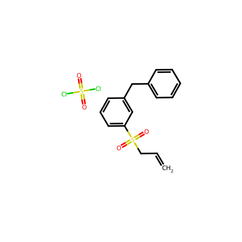 C=CCS(=O)(=O)c1cccc(Cc2ccccc2)c1.O=S(=O)(Cl)Cl